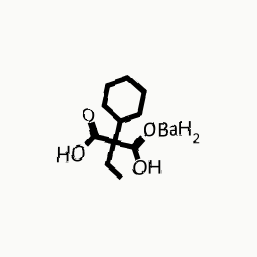 CCC(C(=O)O)(C(=O)O)C1CCCCC1.[BaH2]